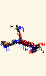 BNC(=S)NCCOCCOCCNC(=O)[C@H](CCCCn1cc(CCCC(=O)Nc2nnc(S(N)(=O)=O)s2)nn1)NC(=O)C[C@H](NC(=O)C[C@H](NC(=O)CCC(C)(c1ccc(O)cc1)c1ccc(O)cc1)C(=O)O)C(=O)O